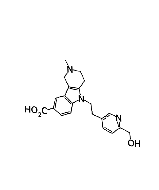 CN1CCc2c(c3cc(C(=O)O)ccc3n2CCc2ccc(CO)nc2)C1